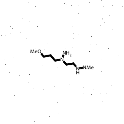 CNNCCN(N)CCCOC